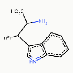 CCCC(c1c[nH]c2ccccc12)C(N)C(=O)O